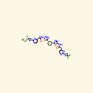 CC1(F)CN(c2nccc(CC(=O)Nc3nnc([C@H]4CCC[C@H](c5nnc(NC(=O)Cc6ccnc(N7CC(F)(F)C7)n6)s5)C4)s3)n2)C1